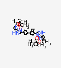 C[C@H]1CC[C@@H](c2nc(-c3ccc(-c4ccc(-c5c[nH]c([C@@H]6CCCN6C(=O)OC(C)(C)C)n5)cc4)c4c3CC4)c[nH]2)N1C(=O)OC(C)(C)C